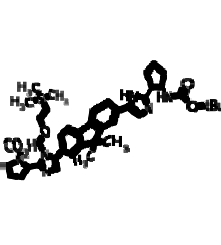 CC(C)(C)OC(=O)N[C@H]1CCC[C@@H]1c1ncc(-c2ccc3c(c2)C(C)(C)c2cc(-c4cnc(C5CCCN5C(=O)O)n4COCC[Si](C)(C)C)ccc2-3)[nH]1